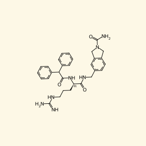 N=C(N)NCCC[C@@H](NC(=O)C(c1ccccc1)c1ccccc1)C(=O)NCc1ccc2c(c1)CN(C(N)=O)C2